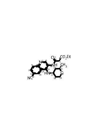 CCOC(=O)CC(=O)Nc1cnc2ccc(C#N)cc2c1N[C@@H]1CCO[C@H](C)C1